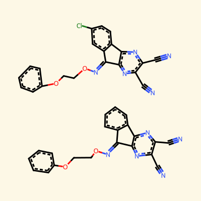 N#Cc1nc2c(nc1C#N)-c1ccc(Cl)cc1/C2=N\OCCOc1ccccc1.N#Cc1nc2c(nc1C#N)-c1ccccc1/C2=N\OCCOc1ccccc1